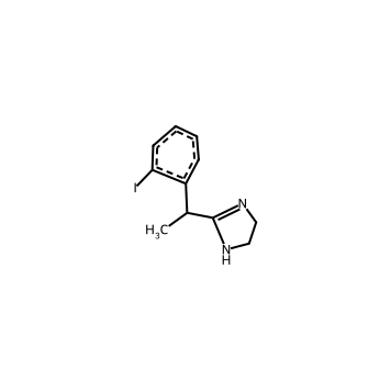 CC(C1=NCCN1)c1ccccc1I